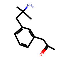 CC(=O)Cc1cccc(CC(C)(C)N)c1